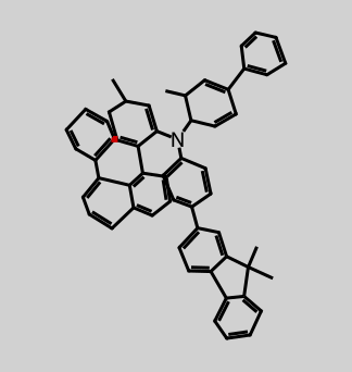 CC1C=C(N(c2ccc(-c3ccc4c(c3)C(C)(C)c3ccccc3-4)cc2)C2C=CC(c3ccccc3)=CC2C)C(c2cccc3cccc(-c4ccccc4)c23)=CC1